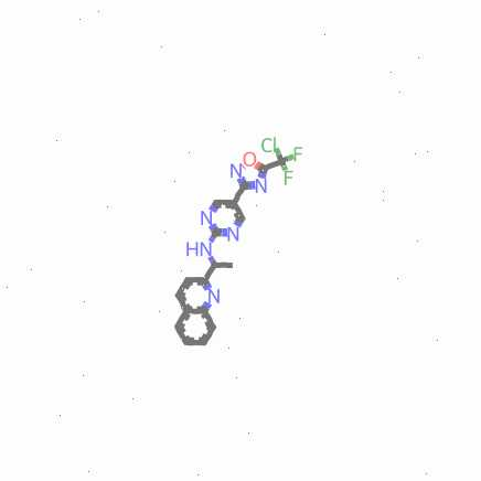 CC(Nc1ncc(-c2noc(C(F)(F)Cl)n2)cn1)c1ccc2ccccc2n1